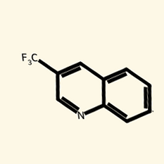 FC(F)(F)c1cnc2c[c]ccc2c1